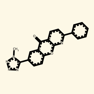 Cn1nnnc1-c1ccc2oc3nc(-c4ccccc4)ccc3c(=O)c2c1